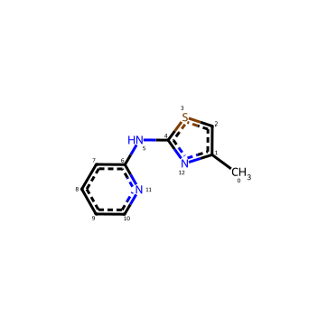 Cc1[c]sc(Nc2ccccn2)n1